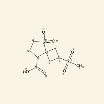 CS(=O)(=O)N1CC2(C1)C(C(=O)O)CCS2(=O)=O